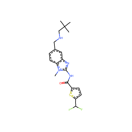 Cn1c(NC(=O)c2ccc(C(F)F)s2)nc2cc(CNCC(C)(C)C)ccc21